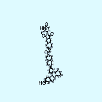 O=C1CCC(N2C(=O)c3cc4c(cc3C2=O)CCN(CC(=O)N2CCC3(CC2)CCN(c2ccc([C@@H]5c6ccc(O)cc6CC[C@@H]5c5ccccc5)cc2)CC3)CC4)C(=O)N1